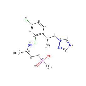 CCCC(Cn1cncn1)c1ccc(Cl)cc1Cl.CP(=O)(O)CCC(N)C(=O)O